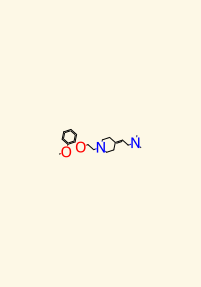 COc1ccccc1OCCN1CCC(=CCN(C)C)CC1